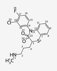 CNCCCC1Sc2ccccc2N(c2ccc(F)c(Cl)c2)S1(=O)=O